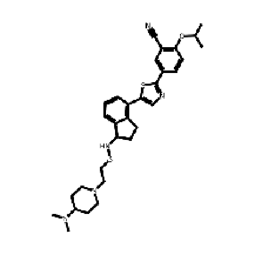 CC(C)Oc1ccc(-c2ncc(-c3cccc4c3CCC4NSCCN3CCC(N(C)C)CC3)s2)cc1C#N